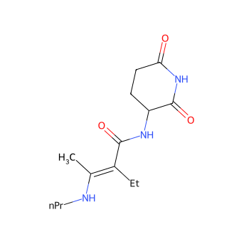 CCCN/C(C)=C(\CC)C(=O)NC1CCC(=O)NC1=O